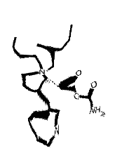 CCC[N+]1(CC(C)CC)CCC(c2cccnc2)[C@H]1C(=O)OC(N)=O